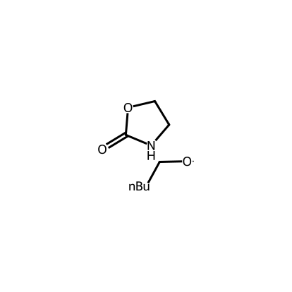 CCCCC[O].O=C1NCCO1